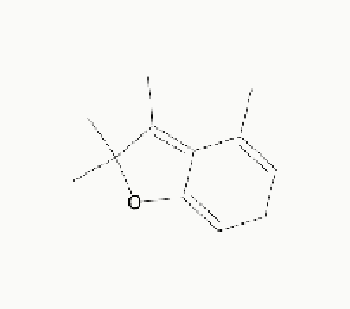 CC1=CCC=C2OC(C)(C)C(C)=C12